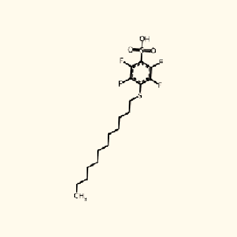 CCCCCCCCCCCCSc1c(F)c(F)c(S(=O)(=O)O)c(F)c1F